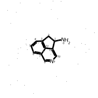 NC1Cc2cccc3cncc1c23